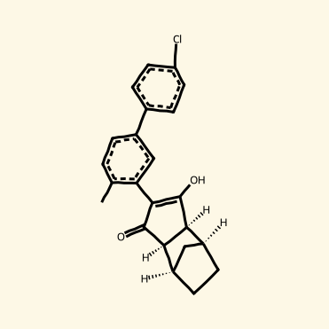 Cc1ccc(-c2ccc(Cl)cc2)cc1C1=C(O)[C@H]2[C@H]3CC[C@H](C3)[C@H]2C1=O